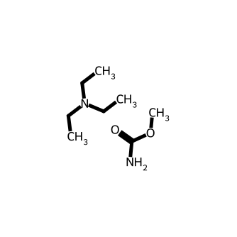 CCN(CC)CC.COC(N)=O